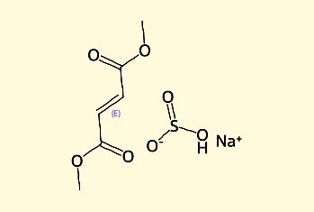 COC(=O)/C=C/C(=O)OC.O=S([O-])O.[Na+]